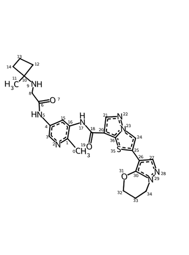 Cc1ncc(NC(=O)CNC2(C)CCC2)cc1NC(=O)c1cnn2cc(-c3cnn4c3OCCC4)sc12